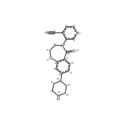 N#Cc1ccncc1N1CCOc2cc(N3CCNCC3)ccc2C1=O